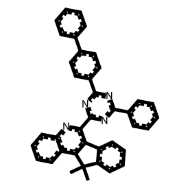 CC1(C)c2ccccc2-c2c(-c3nc(-c4ccccc4)nc(-c4ccc(-c5ccccc5)cc4)n3)nc3ccccc3c21